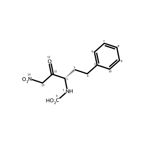 O=C(O)N[C@@H](CCc1ccccc1)C(=O)C[N+](=O)[O-]